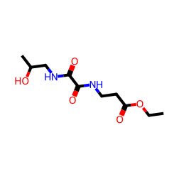 CCOC(=O)CCNC(=O)C(=O)NCC(C)O